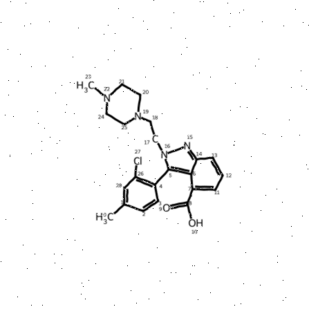 Cc1ccc(-c2c3c(C(=O)O)cccc3nn2CCN2CCN(C)CC2)c(Cl)c1